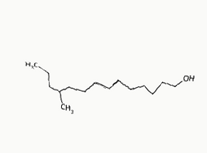 CCCC(C)CCCCCCCCCCO